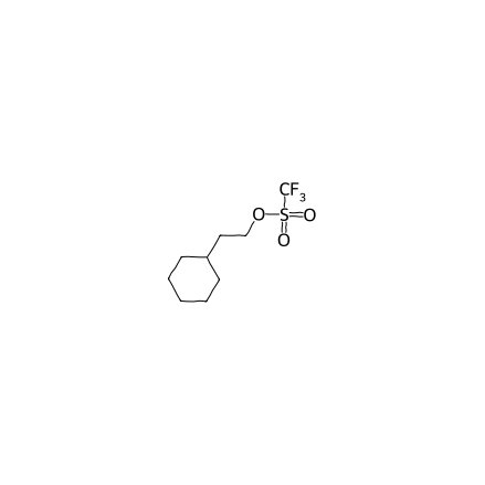 O=S(=O)(OCCC1CCCCC1)C(F)(F)F